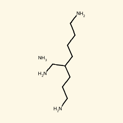 N.NCCCCC(CN)CCCN